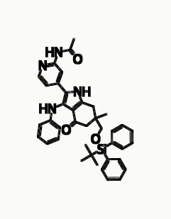 CC(=O)Nc1cc(-c2[nH]c3c(c2Nc2ccccc2)C(=O)CC(C)(CO[Si](c2ccccc2)(c2ccccc2)C(C)(C)C)C3)ccn1